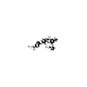 CNc1cn2ncc(Oc3cnc4nc(Nc5cc(OC[C@@H]6CCCN6C)cc(C(F)(F)F)c5)n(C)c4c3Cl)c2cn1